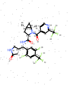 O=C1C[C@@H]([C@H](NC(=O)[C@H]2C[C@H]3C[C@H]3N2C(=O)c2ccnc(C(F)(F)F)c2)c2cc(F)c(C(F)(F)F)cc2F)CN1